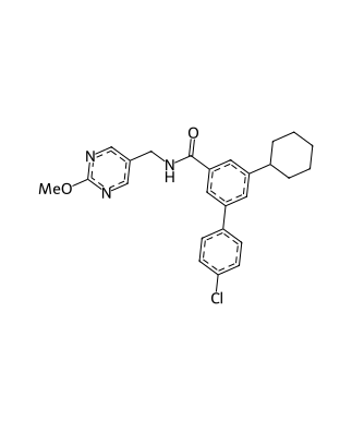 COc1ncc(CNC(=O)c2cc(-c3ccc(Cl)cc3)cc(C3CCCCC3)c2)cn1